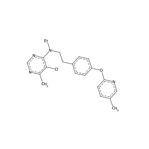 CCN(CCc1ccc(Oc2ccc(C)cn2)cc1)c1ncnc(C)c1Cl